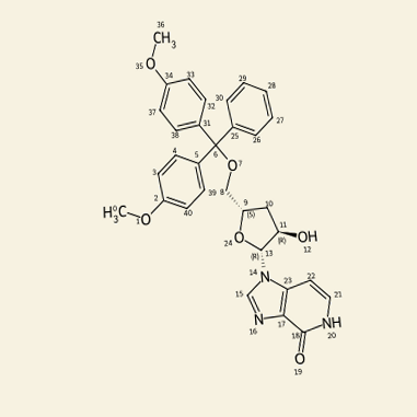 COc1ccc(C(OC[C@@H]2C[C@@H](O)[C@H](n3cnc4c(=O)[nH]ccc43)O2)(c2ccccc2)c2ccc(OC)cc2)cc1